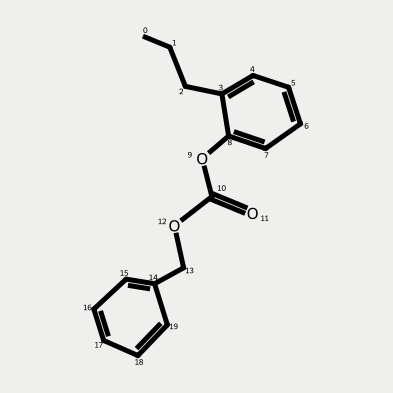 CCCc1ccccc1OC(=O)OCc1ccccc1